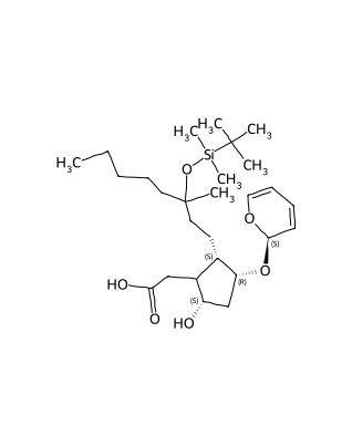 CCCCCC(C)(CC[C@H]1C(CC(=O)O)[C@@H](O)C[C@H]1O[C@@H]1C=CC=CO1)O[Si](C)(C)C(C)(C)C